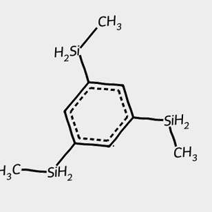 C[SiH2]c1[c]c([SiH2]C)cc([SiH2]C)c1